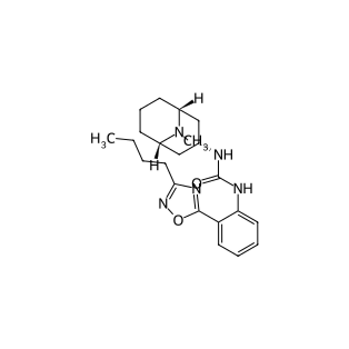 CCCCc1noc(-c2ccccc2NC(=O)N[C@H]2C[C@H]3CCC[C@@H](C2)N3C)n1